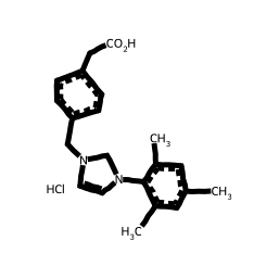 Cc1cc(C)c(N2C=CN(Cc3ccc(CC(=O)O)cc3)C2)c(C)c1.Cl